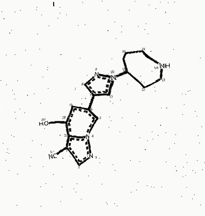 N#Cc1cnn2cc(-c3cnn(C4CCNCC4)c3)cc(O)c12